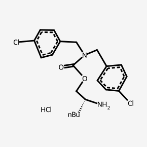 CCCC[C@@H](N)COC(=O)N(Cc1ccc(Cl)cc1)Cc1ccc(Cl)cc1.Cl